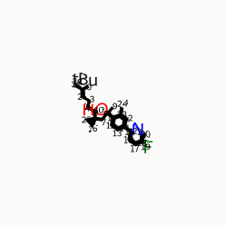 C/C(=C\CCCC1(CC(C)(O)c2ccc(-c3ccc(F)cn3)cc2C)C=C1)CC(C)(C)C